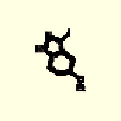 CCOc1ccc2[nH]nc(I)c2c1